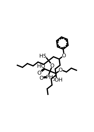 CCCCCCCC(CC(S)(CCCCCC)OC([PH2]=O)(C(=O)O)C(O)OCCC)Oc1ccccc1